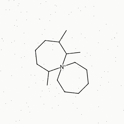 CC1CCCC(C)[N+]2(CCCCCC2)C1C